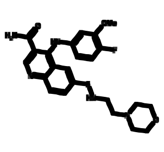 COc1cc(Nc2c(C(N)=O)cnc3ccc(SNCCN4CCOCC4)cc23)ccc1F